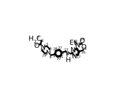 C=CC(=O)N1CCN(Cc2ccc(CPc3ncc4c(n3)N(CC)C(=O)OC4)cc2)CC1